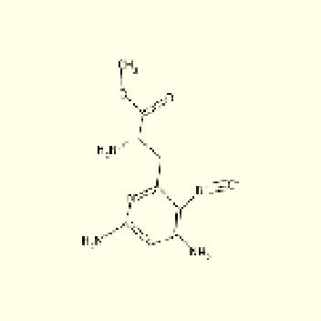 [C-]#[N+]c1c(N)cc(N)nc1C[C@H](N)C(=O)OC